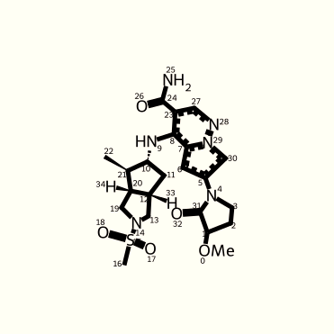 COC1CCN(c2cc3c(N[C@@H]4C[C@@H]5CN(S(C)(=O)=O)C[C@@H]5[C@H]4C)c(C(N)=O)cnn3c2)C1=O